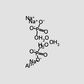 O.O.O.O=P([O-])([O-])[O-].O=P([O-])([O-])[O-].[Al+3].[Na+].[Na+].[Na+]